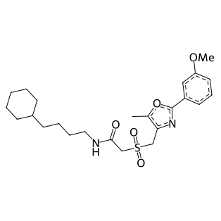 COc1cccc(-c2nc(CS(=O)(=O)CC(=O)NCCCCC3CCCCC3)c(C)o2)c1